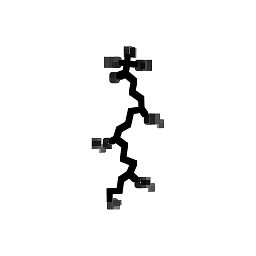 CCC(O)(O)C(=O)CCCC(C)CCCC(C)CCCC(C)CCCC(C)C